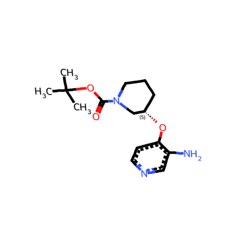 CC(C)(C)OC(=O)N1CCC[C@H](Oc2ccncc2N)C1